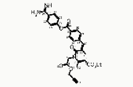 C#CCOC(=O)CN(C(=O)C(C)=Cc1ccc(C(=O)Oc2ccc(C(=N)N)cc2)cc1)C(C)=CC(=O)OCC